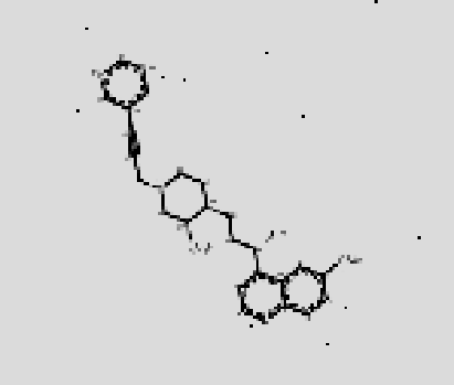 COc1ccc2nccc([C@@H](F)CC[C@@H]3CCN(CC#Cc4cncnc4)C[C@@H]3C(=O)O)c2c1